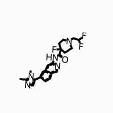 Cc1ncc(-c2ccc3cnc(NC(=O)C4(F)CCN(CC(F)F)CC4)cc3c2)n1C